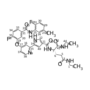 CCNC(=O)CC[C@H](NC(=O)c1c[nH]c(-c2cc(Oc3cc(C(=O)Nc4cc(C)ccc4F)ccc3F)ccn2)c1)C(=O)NCC